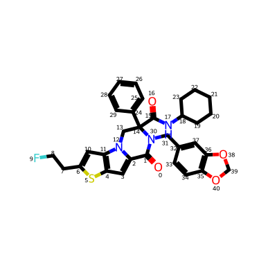 O=C1c2cc3sc(CCF)cc3n2CC(C(=O)NC2CCCCC2)(c2ccccc2)N1Cc1ccc2c(c1)OCO2